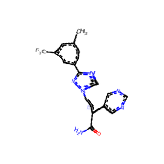 Cc1cc(-c2ncn(/C=C(/C(N)=O)c3cncnc3)n2)cc(C(F)(F)F)c1